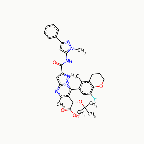 Cc1nc2cc(C(=O)Nc3cc(-c4ccccc4)nn3C)nn2c(-c2cc(F)c3c(c2C)CCCO3)c1[C@H](OC(C)(C)C)C(=O)O